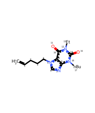 C=CCCCn1cnc2c1c(=O)n(CC)c(=O)n2CCCC